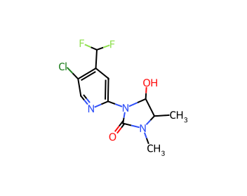 CC1C(O)N(c2cc(C(F)F)c(Cl)cn2)C(=O)N1C